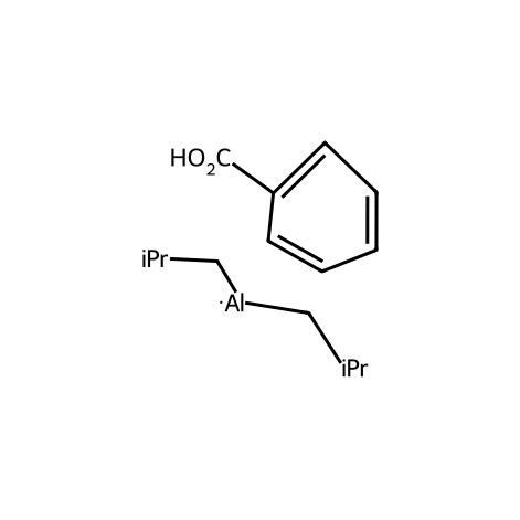 CC(C)[CH2][Al][CH2]C(C)C.O=C(O)c1ccccc1